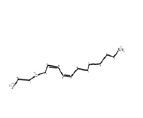 [CH2]CCCCCC/C=C\C=C/CCCCC